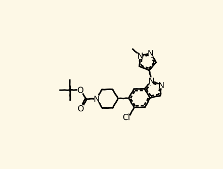 Cn1cc(-n2ncc3cc(Cl)c(C4CCN(C(=O)OC(C)(C)C)CC4)cc32)cn1